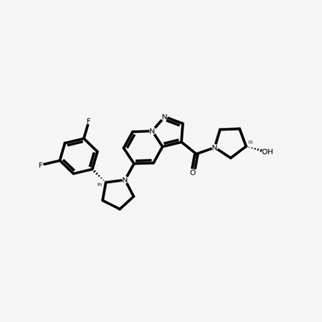 O=C(c1cnn2ccc(N3CCC[C@@H]3c3cc(F)cc(F)c3)cc12)N1CC[C@H](O)C1